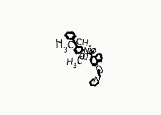 COc1ccc(C(C)(C)c2ccccc2)cc1NC(=O)C(=O)c1ccc(OCCN2CCCCC2)c2ccccc12